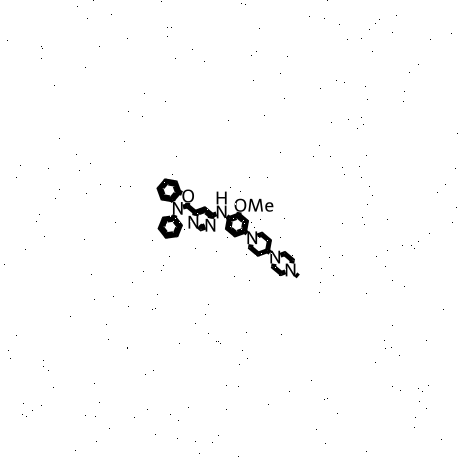 COc1cc(N2CCC(N3CCN(C)CC3)CC2)ccc1Nc1cc(C2Oc3ccccc3N2c2ccccc2)ncn1